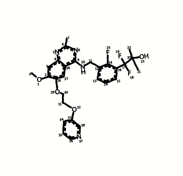 COc1cc2nc(C)nc(NCc3cccc(C(F)(F)C(C)(C)O)c3F)c2cc1OCCOc1cccnc1